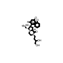 CC(C)(C)C[C@H]1N2CCN(CCC(O)CO)C(=O)[C@@H]2[C@@H](c2cccc(Cl)c2F)[C@]1(C#N)c1ccc(Cl)cc1F